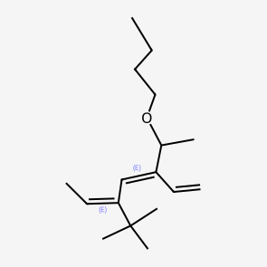 C=C/C(=C\C(=C/C)C(C)(C)C)C(C)OCCCC